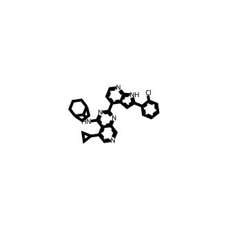 Clc1ccccc1-c1cc2c(-c3nc(NC4C5CCCC4CC5)c4c(C5CC5)cncc4n3)ccnc2[nH]1